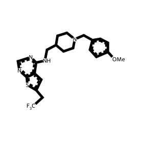 COc1ccc(CN2CCC(CNc3ncnc4sc(CC(F)(F)F)cc34)CC2)cc1